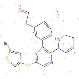 O=CCc1cccc(-c2nc(Sc3csc(Br)c3)cnc2C2C=CCCN2)c1